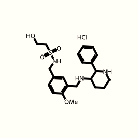 COc1ccc(CNS(=O)(=O)CCO)cc1CNC1CCCNC1c1ccccc1.Cl